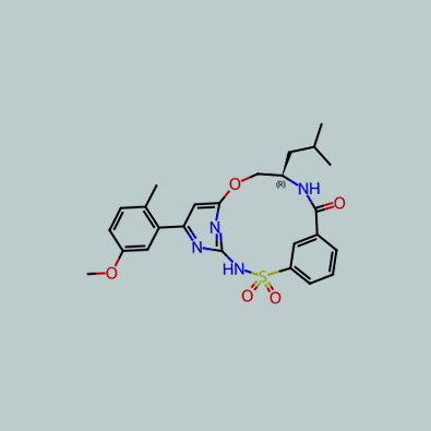 COc1ccc(C)c(-c2cc3nc(n2)NS(=O)(=O)c2cccc(c2)C(=O)N[C@H](CC(C)C)CO3)c1